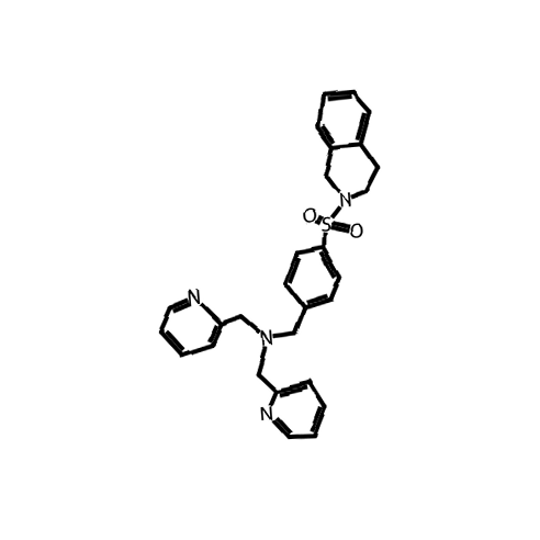 O=S(=O)(c1ccc(CN(Cc2ccccn2)Cc2ccccn2)cc1)N1CCc2ccccc2C1